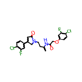 C=C(CCN1CC(c2ccc(Cl)c(F)c2)=CC1=O)NC(=O)COc1ccc(Cl)c(F)c1